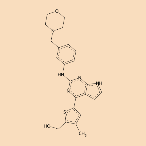 Cc1cc(-c2nc(Nc3cccc(CN4CCOCC4)c3)nc3[nH]ccc23)sc1CO